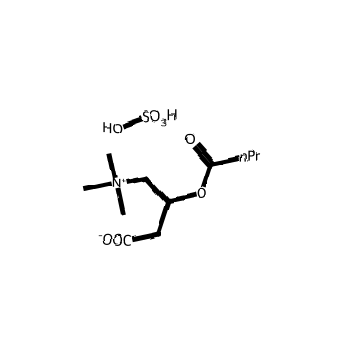 CCCC(=O)OC(CC(=O)[O-])C[N+](C)(C)C.O=S(=O)(O)O